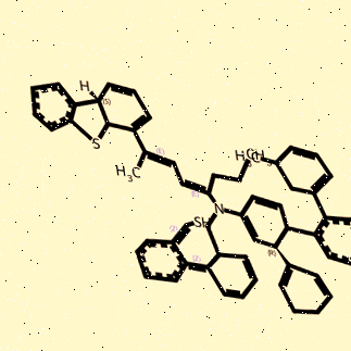 CCC/C(=C\C=C(/C)C1=CC=C[C@H]2c3ccccc3SC12)N(CC1C=CC=C/C1=c1\cccc\c1=C\S)C1=C[C@H](C2=CCCC=C2)C(c2ccccc2C2=CC=CC(C)C2)C=C1